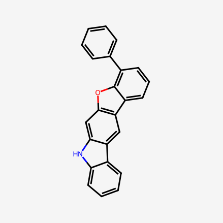 c1ccc(-c2cccc3c2oc2cc4[nH]c5ccccc5c4cc23)cc1